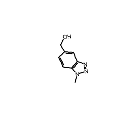 Cn1nnc2cc(CO)ccc21